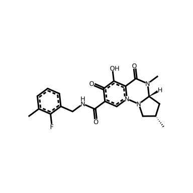 Cc1cccc(CNC(=O)c2cn3c(c(O)c2=O)C(=O)N(C)[C@@H]2C[C@H](C)CN23)c1F